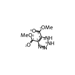 COC(=O)C1=C(C(=O)OC)NNN=N1